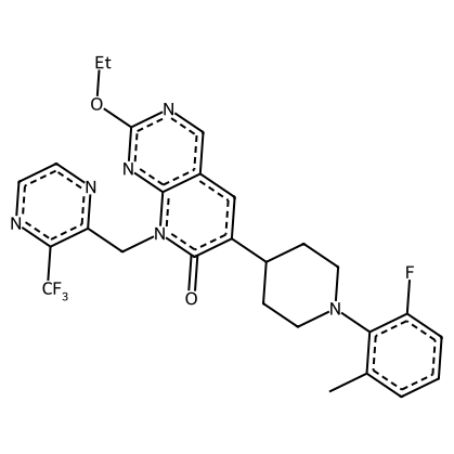 CCOc1ncc2cc(C3CCN(c4c(C)cccc4F)CC3)c(=O)n(Cc3nccnc3C(F)(F)F)c2n1